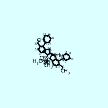 CCc1ccc2c(c1-c1ccccc1)C=C(C)[CH]2[Zr]([Cl])([Cl])([CH]1C(C)=Cc2c1ccc(CC)c2-c1ccccc1)[SiH](C)C